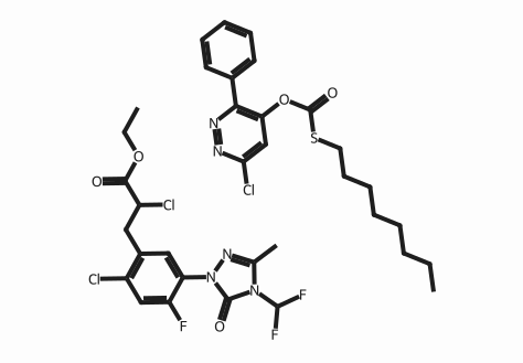 CCCCCCCCSC(=O)Oc1cc(Cl)nnc1-c1ccccc1.CCOC(=O)C(Cl)Cc1cc(-n2nc(C)n(C(F)F)c2=O)c(F)cc1Cl